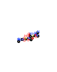 COc1cccc(C(=O)N(Cc2ccc(S(=O)(=O)N3CCC(n4nnc5ccccc54)CC3)s2)c2cc(Cc3cc(S(=O)(=O)[N+]4(C5N=Nc6cnccc65)CCCCC4)cs3)cc(C(N)=O)c2O)c1